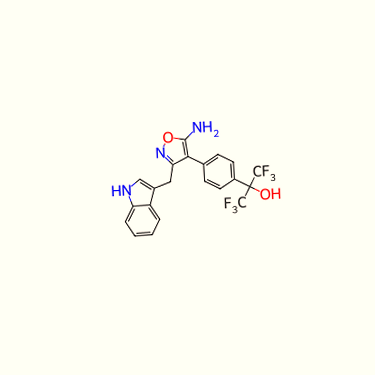 Nc1onc(Cc2c[nH]c3ccccc23)c1-c1ccc(C(O)(C(F)(F)F)C(F)(F)F)cc1